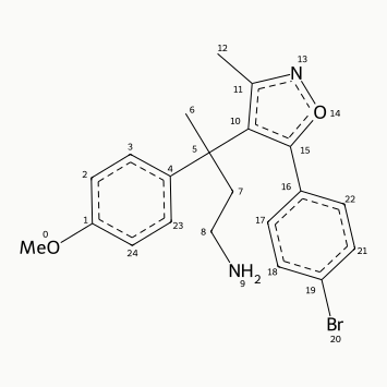 COc1ccc(C(C)(CCN)c2c(C)noc2-c2ccc(Br)cc2)cc1